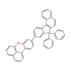 c1ccc(C2(c3ccccc3)c3cc(-c4ccc5c(c4)Oc4cccc6cccc-5c46)ccc3-c3c2ccc2ccccc32)cc1